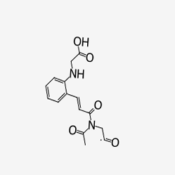 CC(=O)N(C[C]=O)C(=O)/C=C/c1ccccc1NCC(=O)O